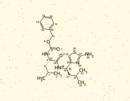 CC(C)C[C@H](NC(=O)OCc1ccccc1)C(=O)N[C@H](CC(C)C)c1csc(N)n1